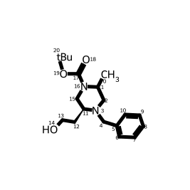 CC1CN(Cc2ccccc2)[C@@H](CCO)CN1C(=O)OC(C)(C)C